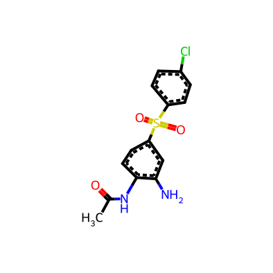 CC(=O)Nc1ccc(S(=O)(=O)c2ccc(Cl)cc2)cc1N